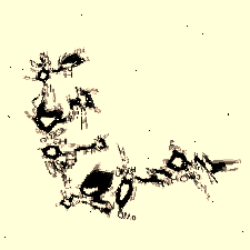 CC(C)n1ncnc1-c1ccccc1NCC1=NCCN1.CCS(=O)(=O)c1ccccc1NCC1=NCCN1.COc1ccc(S(C)(=O)=O)c(NCC2=NCCN2)c1.CS(=O)(=O)c1ccc(Cl)cc1NCC1=NCCN1.CS(=O)(=O)c1ccc(F)cc1NCC1=NCCN1.Cc1ccc(S(C)(=O)=O)c(NCC2=NCCN2)c1